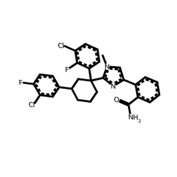 Cn1cc(-c2ccccc2C(N)=O)nc1C1(c2cccc(Cl)c2F)CCCC(c2ccc(F)c(Cl)c2)C1